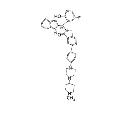 CN1CCC(N2CCN(c3ccc(-c4ccc5c(c4)C(=O)N([C@@H](c4cc6ccccc6[nH]4)c4cc(F)ccc4O)C5)cc3)CC2)CC1